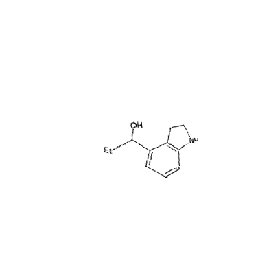 CCC(O)c1cccc2c1CCN2